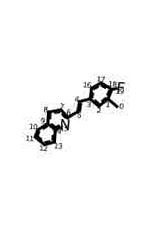 Cc1cc(/C=C/c2ccc3ccccc3n2)ccc1F